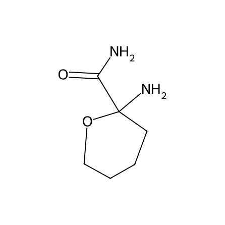 NC(=O)C1(N)CCCCO1